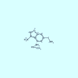 B.CS.NCc1ccc2c(N)noc2c1